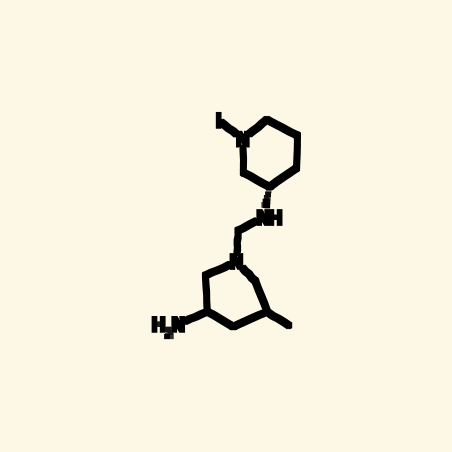 CC1CC(N)CN(CN[C@H]2CCCN(I)C2)C1